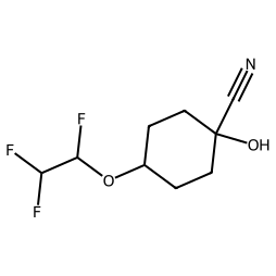 N#CC1(O)CCC(OC(F)C(F)F)CC1